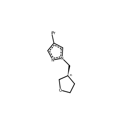 CC(C)c1cnn(C[C@H]2CCOC2)c1